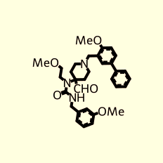 COCCN(C(=O)NCc1cccc(OC)c1)C1(C=O)CCN(Cc2cc(-c3ccccc3)ccc2OC)CC1